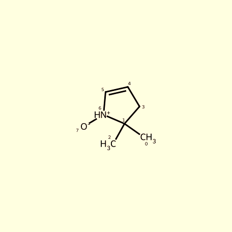 CC1(C)CC=C[NH+]1[O-]